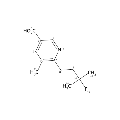 Cc1cc(C(=O)O)cnc1CCC(C)(C)F